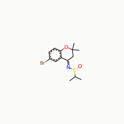 CC(C)[S@@+]([O-])/N=C1\CC(C)(C)Oc2ccc(Br)cc21